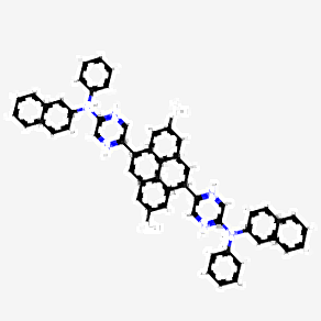 CC(C)(C)c1cc2cc(-c3cnc(N(c4ccccc4)c4ccc5ccccc5c4)cn3)c3cc(C(C)(C)C)cc4cc(-c5cnc(N(c6ccccc6)c6ccc7ccccc7c6)cn5)c(c1)c2c43